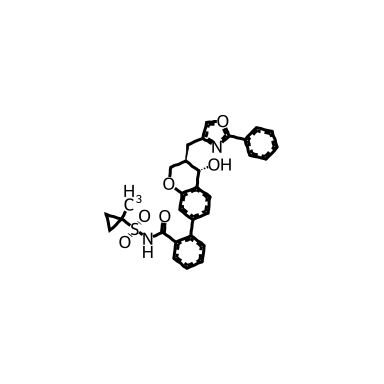 CC1(S(=O)(=O)NC(=O)c2ccccc2-c2ccc3c(c2)OC[C@@H](Cc2coc(-c4ccccc4)n2)[C@@H]3O)CC1